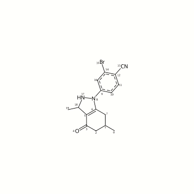 CC1CC(=O)C2=C(C1)N(c1ccc(C#N)c(Br)c1)NC2C